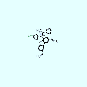 C=Cc1ccc2c(c1)-c1cc(C=C)c[c](/[Zr+2]([C]3=CC=CC3)=[C](/C)c3ccccc3)c1C2.[Cl-].[Cl-]